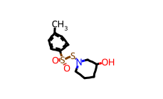 Cc1ccc(S(=O)(=O)SN2CCCC(O)C2)cc1